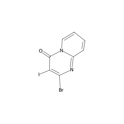 O=c1c(I)c(Br)nc2ccccn12